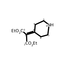 CCOC(=O)C(C(=O)OCC)=C1CCNCC1